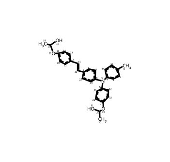 Cc1ccc(N(c2ccc(C=Cc3ccc(OC(C)O)cc3)cc2)c2ccc(OC(C)O)cc2)cc1